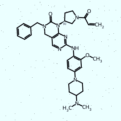 C=CC(=O)N1CC[C@H](N2C(=O)N(Cc3ccccc3)Cc3cnc(Nc4ccc(N5CCC(N(C)C)CC5)cc4OC)nc32)C1